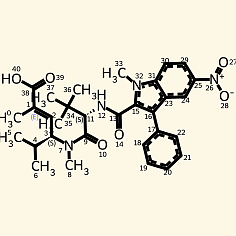 C/C(=C\[C@H](C(C)C)N(C)C(=O)[C@@H](NC(=O)c1c(-c2ccccc2)c2cc([N+](=O)[O-])ccc2n1C)C(C)(C)C)C(=O)O